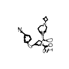 N#Cc1ccc(OC2C[C@@H](C(=O)N3CCCN(C4CCC4)CC3)N(C(=O)O)C2)cc1